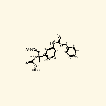 COCC(C)(NC(=O)OC(C)(C)C)c1cc(NC(=O)OCc2ccccc2)ccn1